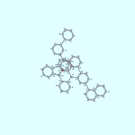 c1ccc(-c2cccc(-c3ccc(N(c4cc(-c5cccc6ccccc56)ccc4-c4ccccc4)c4ccccc4-n4c5ccccc5c5ccccc54)cc3)c2)cc1